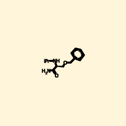 CC(C)N[C@@H](COCc1ccccc1)C(N)=O